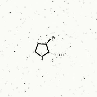 CCC[C@@H]1CCN[C@H]1C(=O)O